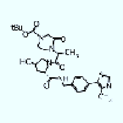 Cc1ncsc1-c1ccc(CNC(=O)[C@@H]2C[C@@H](O)CN2C(=O)C(C)N2CCN(C(=O)OC(C)(C)C)CC2=O)cc1